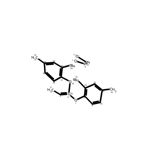 CC(C)[O-].CC(C)[O-].C[CH]=[Ti+2]([O]c1ccc(C)cc1C(C)(C)C)[O]c1ccc(C)cc1C(C)(C)C